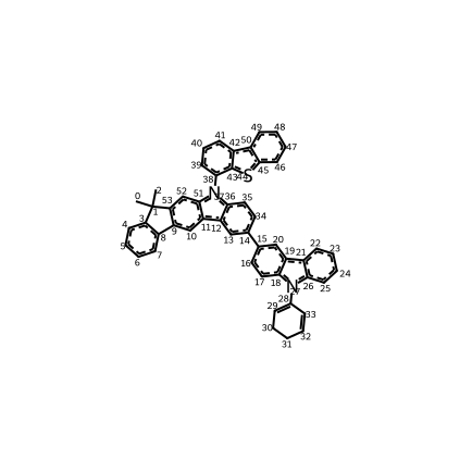 CC1(C)c2ccccc2-c2cc3c4cc(-c5ccc6c(c5)c5ccccc5n6C5=CCCC=C5)ccc4n(-c4cccc5c4sc4ccccc45)c3cc21